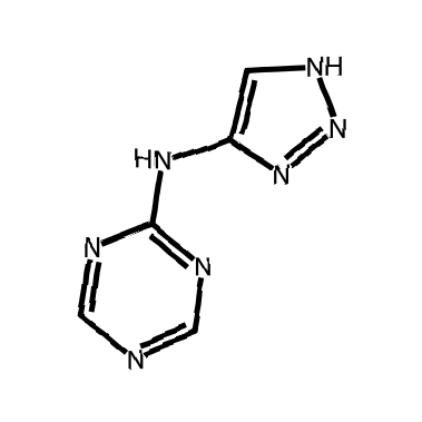 c1ncnc(Nc2c[nH]nn2)n1